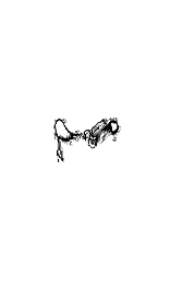 N#CC1CCCCC(C=NOS(=O)(=O)c2ccccc2)CC1